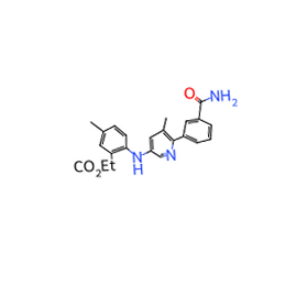 CCOC(=O)c1cc(C)ccc1Nc1cnc(-c2cccc(C(N)=O)c2)c(C)c1